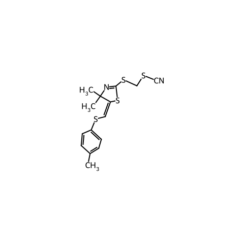 Cc1ccc(S/C=C2/SC(SCSC#N)=NC2(C)C)cc1